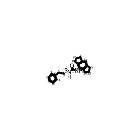 O=C(NSCCc1ccccc1)Nc1c2c(cc3c1CCC3)CCC2